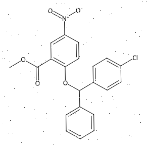 COC(=O)c1cc([N+](=O)[O-])ccc1OC(c1ccccc1)c1ccc(Cl)cc1